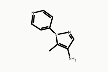 Cc1c(N)cnn1-c1ccncc1